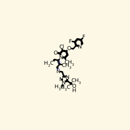 C=C/C(=C(C)\C=N/Cc1nc(C(C)(C)O)n(C)n1)n1c(C)cc(OCc2ncc(F)cc2F)c(Cl)c1=O